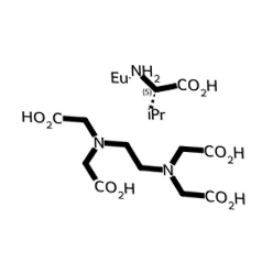 CC(C)[C@H](N)C(=O)O.O=C(O)CN(CCN(CC(=O)O)CC(=O)O)CC(=O)O.[Eu]